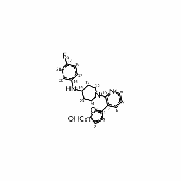 O=Cc1ccc(-c2cccnc2N2CCC(Nc3ccc(F)cc3)CC2)o1